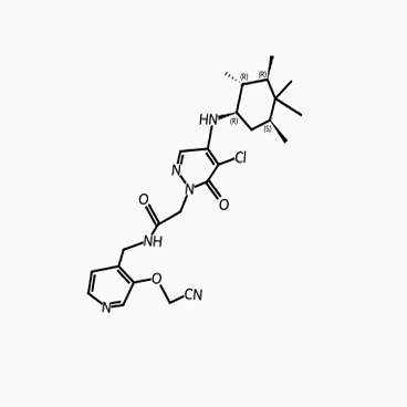 C[C@@H]1[C@@H](C)C(C)(C)[C@@H](C)C[C@H]1Nc1cnn(CC(=O)NCc2ccncc2OCC#N)c(=O)c1Cl